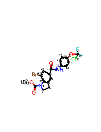 CC(C)(C)OC(=O)N1CCc2cc(C(=O)Nc3ccc(OC(F)(F)Cl)cc3)cc(Br)c21